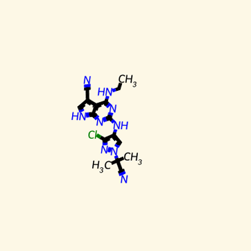 CCNc1nc(Nc2cn(C(C)(C)C#N)nc2Cl)nc2[nH]cc(C#N)c12